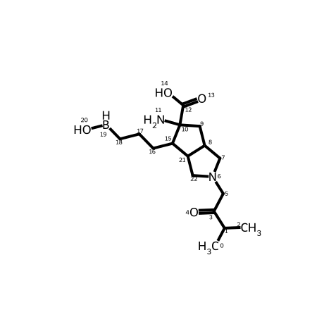 CC(C)C(=O)CN1CC2CC(N)(C(=O)O)C(CCCBO)C2C1